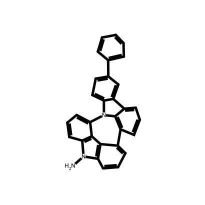 Nn1c2cccc3c4cccc5c6cc(-c7ccccc7)ccc6n(c6cccc1c6c32)c45